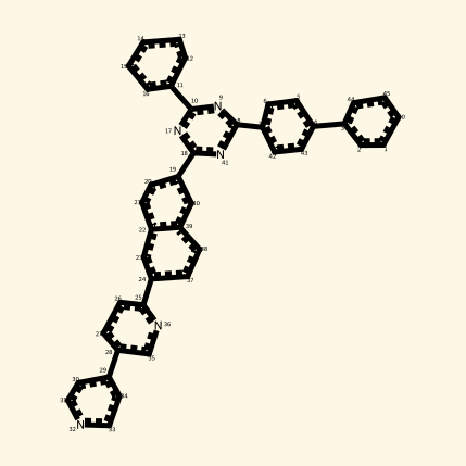 c1ccc(-c2ccc(-c3nc(-c4ccccc4)nc(-c4ccc5cc(-c6ccc(-c7ccncc7)cn6)ccc5c4)n3)cc2)cc1